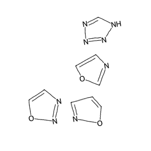 c1cnoc1.c1cocn1.c1conn1.c1nnn[nH]1